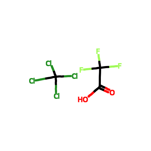 ClC(Cl)(Cl)Cl.O=C(O)C(F)(F)F